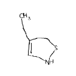 CCC1=CNSC1